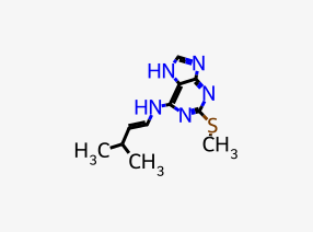 CSc1nc(NC=CC(C)C)c2[nH]cnc2n1